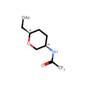 CC(=O)OC[C@H]1CC[C@@H](NC(=O)C(F)(F)F)CO1